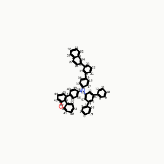 c1ccc(-c2cc(-c3ccccc3)cc(N(c3ccc(-c4cccc(-c5ccc6ccccc6c5)c4)cc3)c3ccc(-c4cccc5oc6ccccc6c45)cc3)c2)cc1